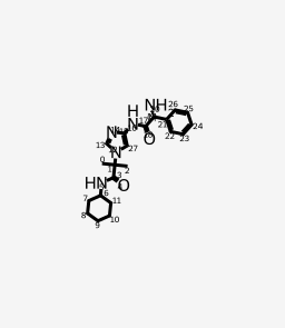 CC(C)(C(=O)NC1CCCCC1)n1cnc(NC(=O)[C@@H](N)c2ccccc2)c1